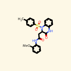 COc1ccccc1NC(=O)CC1C(=O)Nc2ccccc2N1S(=O)(=O)c1ccc(C)cc1